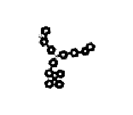 c1ccc(C2(c3ccccc3)c3ccccc3-c3c(-c4ccc(N(c5ccc(-c6ccc(-c7ccc8ccccc8c7)cc6)cc5)c5ccc(-c6ccc7oc8ccccc8c7c6)cc5)cc4)cccc32)cc1